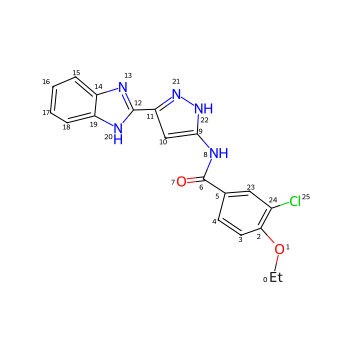 CCOc1ccc(C(=O)Nc2cc(-c3nc4ccccc4[nH]3)n[nH]2)cc1Cl